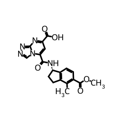 COC(=O)c1ccc2c(c1C)CC[C@@H]2NC(=O)c1cc(C(=O)O)nc2nncn12